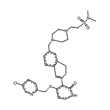 CN(C)S(=O)(=O)CCN1CCN(Cc2ccc3c(c2)CCC(c2c(OCc4ccc(Cl)cn4)cc[nH]c2=O)=C3)CC1